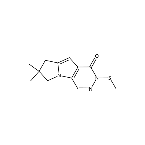 CSn1ncc2c(cc3n2CC(C)(C)C3)c1=O